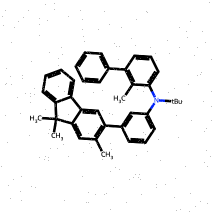 Cc1cc2c(cc1-c1cccc(N(c3cccc(-c4ccccc4)c3C)C(C)(C)C)c1)-c1ccccc1C2(C)C